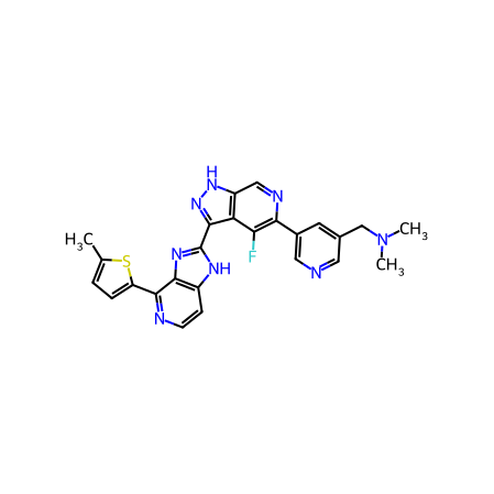 Cc1ccc(-c2nccc3[nH]c(-c4n[nH]c5cnc(-c6cncc(CN(C)C)c6)c(F)c45)nc23)s1